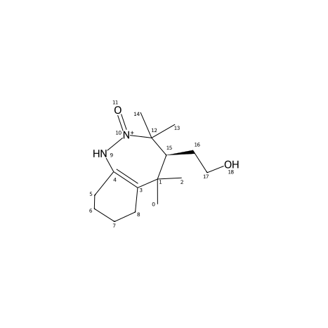 CC1(C)C2=C(CCCC2)N[N+](=O)C(C)(C)[C@H]1CCO